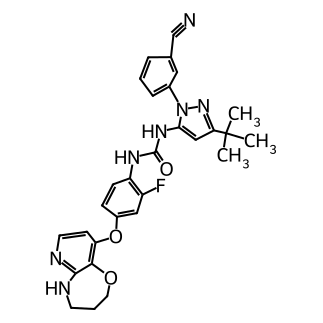 CC(C)(C)c1cc(NC(=O)Nc2ccc(Oc3ccnc4c3OCCCN4)cc2F)n(-c2cccc(C#N)c2)n1